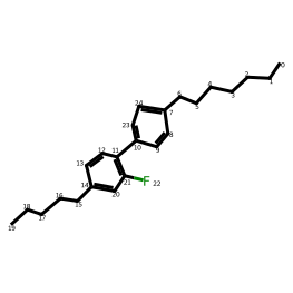 CCCCCCCc1ccc(-c2ccc(CCCCC)cc2F)cc1